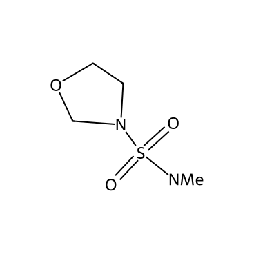 CNS(=O)(=O)N1CCOC1